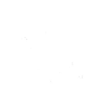 CCC(C)(C)c1ccc2ncoc2c1